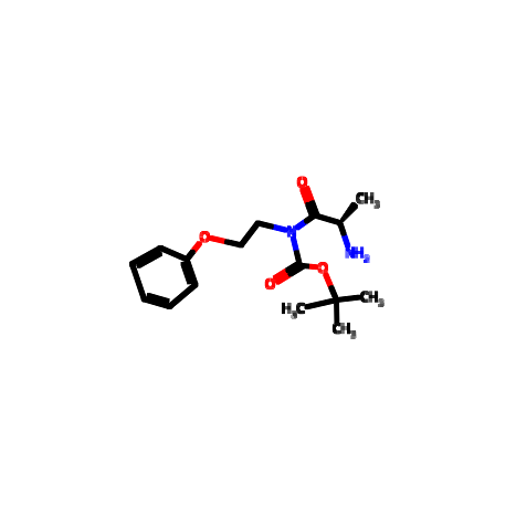 C[C@@H](N)C(=O)N(CCOc1ccccc1)C(=O)OC(C)(C)C